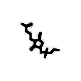 CCCC(C)(C)SC1CC(=O)N(CCCC(C)=O)C1=O